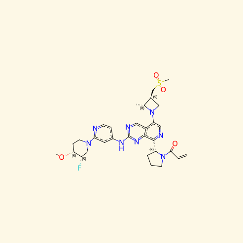 C=CC(=O)N1CCC[C@@H]1c1ncc(N2C[C@H](CS(C)(=O)=O)[C@H]2C)c2cnc(Nc3ccnc(N4CC[C@@H](OC)[C@@H](F)C4)c3)nc12